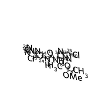 COC(C)COC(C)c1c(NC(=O)Nc2cnc(-n3nccn3)c(Cl)c2)cnc2cc(Cl)nn12